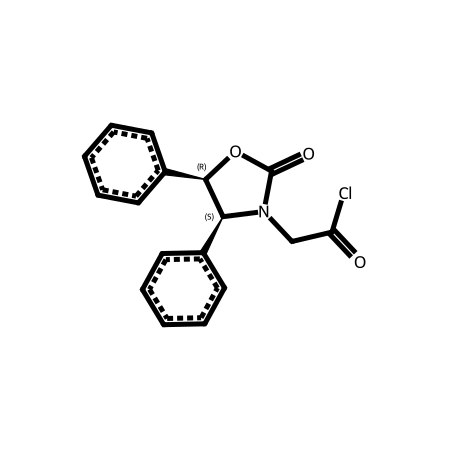 O=C(Cl)CN1C(=O)O[C@H](c2ccccc2)[C@@H]1c1ccccc1